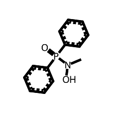 CN(O)P(=O)(c1ccccc1)c1ccccc1